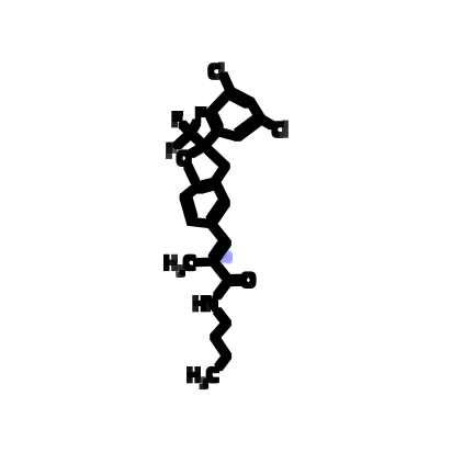 CCCCNC(=O)/C(C)=C/c1ccc2c(c1)CC(c1cc(Cl)cc(Cl)c1)(C(F)(F)F)O2